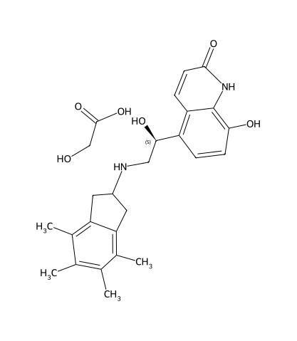 Cc1c(C)c(C)c2c(c1C)CC(NC[C@@H](O)c1ccc(O)c3[nH]c(=O)ccc13)C2.O=C(O)CO